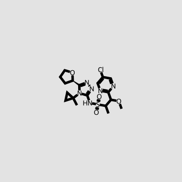 COC(c1ncc(Cl)cn1)C(C)S(=O)(=O)Nc1nnc([C@H]2CCCO2)n1C1(C)CC1